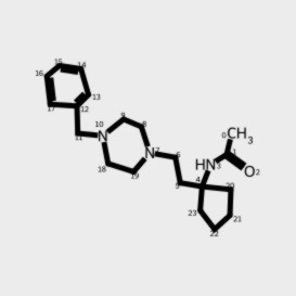 CC(=O)NC1(CCN2CCN(Cc3ccccc3)CC2)CCCC1